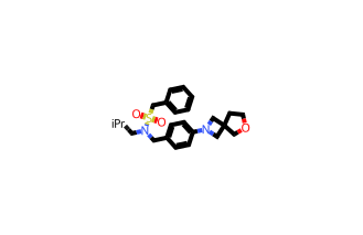 CC(C)CN(Cc1ccc(N2CC3(CCOC3)C2)cc1)S(=O)(=O)Cc1ccccc1